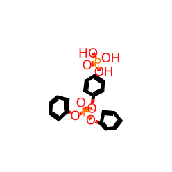 O=P(O)(O)O.O=P(Oc1ccccc1)(Oc1ccccc1)Oc1ccccc1